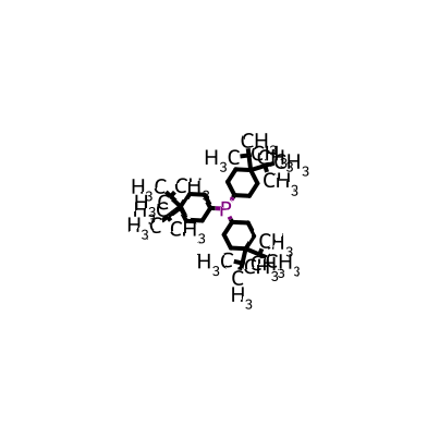 CC(C)(C)C1(C(C)(C)C)CCC(P(C2CCC(C(C)(C)C)(C(C)(C)C)CC2)C2CCC(C(C)(C)C)(C(C)(C)C)CC2)CC1